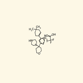 CC1(C)CC=C(c2cc(C3(N4CCNCC4)CCOCC3)ccc2N)CC1.O=C(O)C(F)(F)F